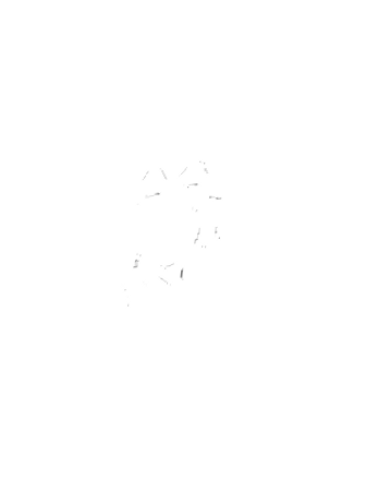 CC(c1cnc(N2C[C@@H]3C[C@@H]3[C@@H]2C#N)nc1)n1cc(NC(=O)c2cncc(-c3c(C(F)F)ccc(Cl)c3F)n2)cn1